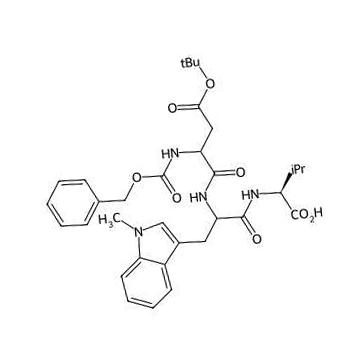 CC(C)[C@H](NC(=O)C(Cc1cn(C)c2ccccc12)NC(=O)C(CC(=O)OC(C)(C)C)NC(=O)OCc1ccccc1)C(=O)O